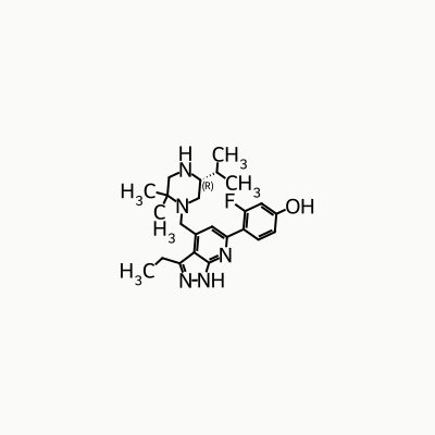 CCc1n[nH]c2nc(-c3ccc(O)cc3F)cc(CN3C[C@@H](C(C)C)NCC3(C)C)c12